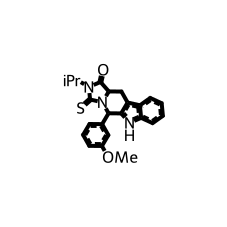 COc1cccc(C2c3[nH]c4ccccc4c3CC3C(=O)N(C(C)C)C(=S)N32)c1